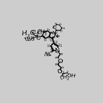 CC(CO)OCCOCCn1cc(-c2nn(C3CCCCO3)c3ccc(O[Si](C)(C)C(C)(C)C)cc23)cc1C#N